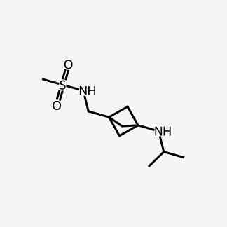 CC(C)NC12CC(CNS(C)(=O)=O)(C1)C2